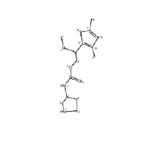 COC(COC(=O)NC1CCNC1)c1sc(C)nc1C